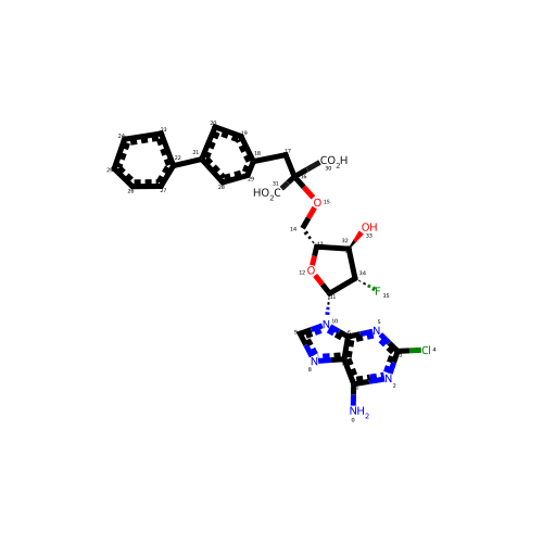 Nc1nc(Cl)nc2c1ncn2[C@@H]1O[C@H](COC(Cc2ccc(-c3ccccc3)cc2)(C(=O)O)C(=O)O)[C@@H](O)[C@@H]1F